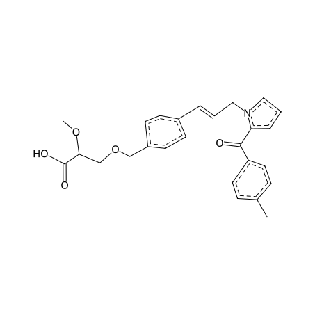 COC(COCc1ccc(/C=C/Cn2cccc2C(=O)c2ccc(C)cc2)cc1)C(=O)O